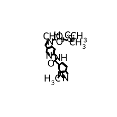 Cn1ncc2ccc(C(=O)Nc3cc4c(cn3)cc(C=O)n4COCC[Si](C)(C)C)cc21